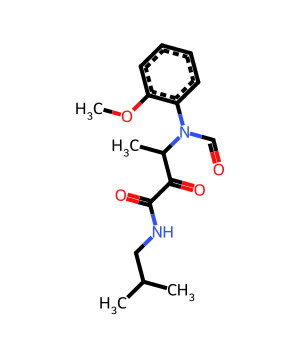 COc1ccccc1N(C=O)C(C)C(=O)C(=O)NCC(C)C